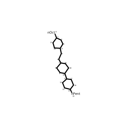 CCCCCCCCC1CCC(CCC2CCC(C3CCC(CCCCC)CC3)CC2)CC1